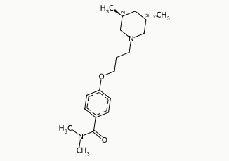 C[C@H]1C[C@H](C)CN(CCCOc2ccc(C(=O)N(C)C)cc2)C1